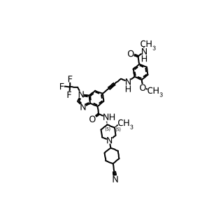 CNC(=O)c1ccc(OC)c(NCC#Cc2cc(C(=O)N[C@H]3CCN(C4CCC(C#N)CC4)C[C@@H]3C)c3ncn(CC(F)(F)F)c3c2)c1